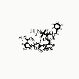 CC(C)(N)C(=O)N[C@H](COCc1ccccc1)c1nnc2scc(COC(=O)N3CCC[C@@H]3C(N)=O)n12